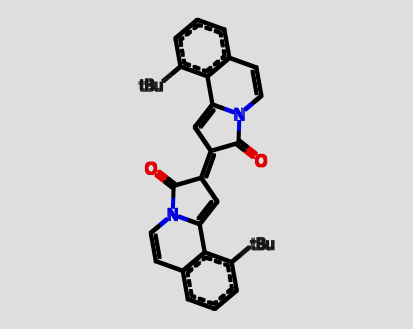 CC(C)(C)c1cccc2c1C1=C/C(=C3/C=C4c5c(cccc5C(C)(C)C)C=CN4C3=O)C(=O)N1C=C2